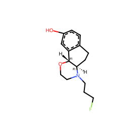 Oc1ccc2c(c1)[C@H]1OCCN(CCCF)[C@@H]1CC2